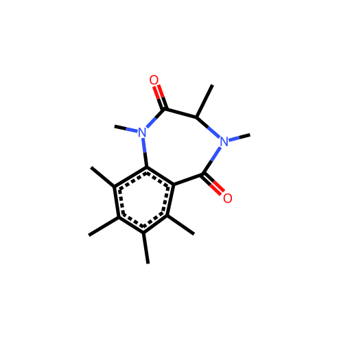 Cc1c(C)c(C)c2c(c1C)C(=O)N(C)C(C)C(=O)N2C